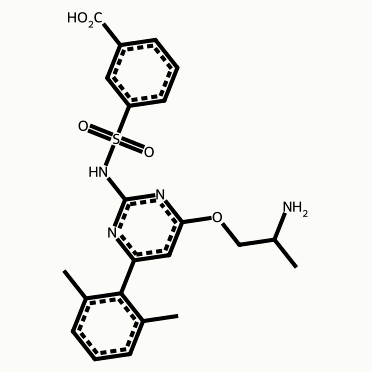 Cc1cccc(C)c1-c1cc(OCC(C)N)nc(NS(=O)(=O)c2cccc(C(=O)O)c2)n1